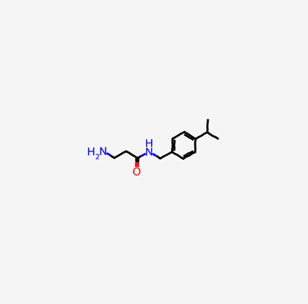 CC(C)c1ccc(CNC(=O)CCN)cc1